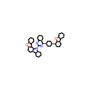 c1ccc2c(-c3ccc(-c4cccc5c4oc4ccccc45)cc3)nc(-n3c4ccccc4c4ccc5oc6ccccc6c5c43)nc2c1